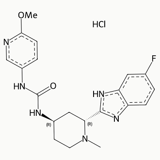 COc1ccc(NC(=O)N[C@@H]2CCN(C)[C@@H](c3nc4ccc(F)cc4[nH]3)C2)cn1.Cl